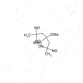 COC(CC(C)(N=O)N=O)(CC(C)(N=O)N=O)OC